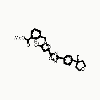 COC(=O)c1cccc(Cn2nc(-c3nc(-c4ccc(C5(F)CCOCC5)cc4)no3)cc2C)c1